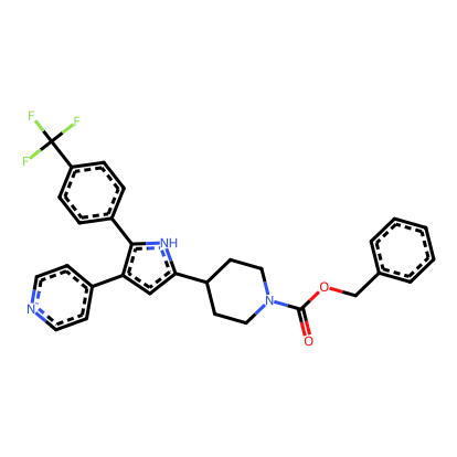 O=C(OCc1ccccc1)N1CCC(c2cc(-c3ccncc3)c(-c3ccc(C(F)(F)F)cc3)[nH]2)CC1